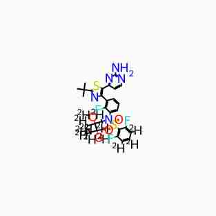 [2H]OC(C)(C([2H])([2H])[2H])C(O[2H])(C([2H])[2H])C([2H])([2H])N(c1cccc(-c2nc(C(C)(C)C)sc2-c2ccnc(N)n2)c1F)S(=O)(=O)c1c(F)c([2H])c([2H])c([2H])c1F